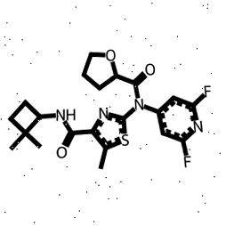 Cc1sc(N(C(=O)C2CCCO2)c2cc(F)nc(F)c2)nc1C(=O)NC1CCC1(C)C